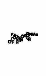 CNC(=O)c1cnccc1Oc1ccc2nc(NC(=O)C3=C(C(F)F)C=CC(F)(Cl)C3)nnc2c1